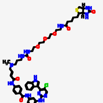 CN(C/C=C/C(=O)Nc1ccc(C(=O)Nc2cccc(Nc3ncc(Cl)c(-c4c[nH]c5ccccc45)n3)c2)cc1)CCCNC(=O)NCCOCCOCCOCCNC(=O)CCCCC1SC[C@@H]2NC(=O)N[C@H]12